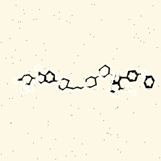 Nc1ncnc2c1c(-c1ccc(Oc3ccccc3)cc1)nn2[C@@H]1CCCN(C2CCN(CCCC3CCN(c4ccc5c(c4)CN(C4CCC(=O)NC4=O)C5=O)CC3)CC2)C1